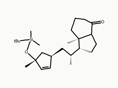 C[C@H](C[C@H]1C=C[C@](C)(O[Si](C)(C)C(C)(C)C)C1)[C@H]1CCC2C(=O)CCC[C@@]21C